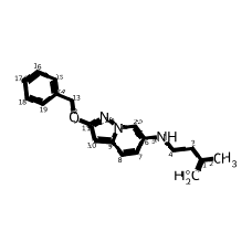 C=C(C)CCNc1ccc2cc(OCc3ccccc3)nn2c1